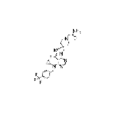 N#CC1(Cn2cc(F)c3c(N(Cc4ccc(C(F)(F)F)cc4)C4CC4)ncnc32)CCN(CC(N)=O)CC1